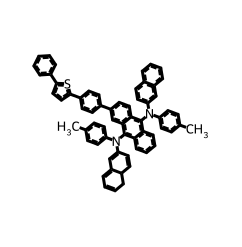 Cc1ccc(N(C2=CC3=CC=CCC3C=C2)c2c3ccccc3c(N(c3ccc(C)cc3)c3ccc4ccccc4c3)c3ccc(-c4ccc(-c5ccc(-c6ccccc6)s5)cc4)cc23)cc1